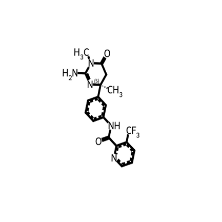 CN1C(=O)C[C@@](C)(c2cccc(NC(=O)c3ncccc3C(F)(F)F)c2)N=C1N